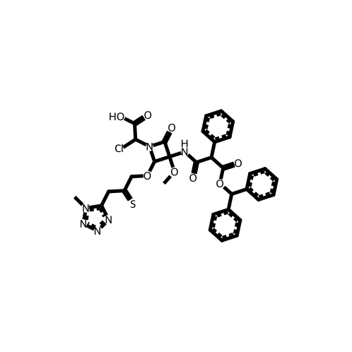 COC1(NC(=O)C(C(=O)OC(c2ccccc2)c2ccccc2)c2ccccc2)C(=O)N(C(Cl)C(=O)O)C1OCC(=S)Cc1nnnn1C